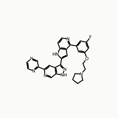 Fc1cc(OCCN2CCCC2)cc(-c2nccc3[nH]c(-c4n[nH]c5cnc(-c6cnccn6)cc45)cc23)c1